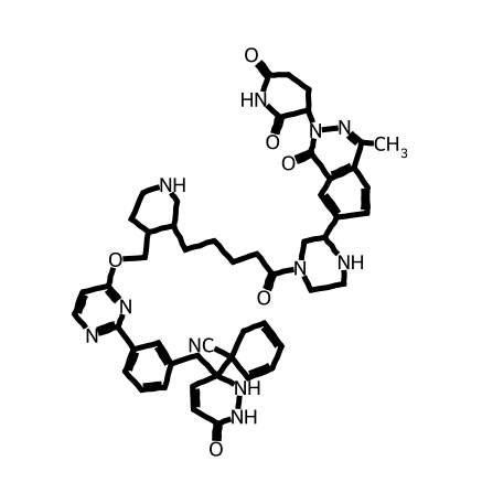 Cc1nn(C2CCC(=O)NC2=O)c(=O)c2cc(C3CN(C(=O)CCCCC4CNCCC4COc4ccnc(-c5cccc(CC6(C7(C#N)C=CC=CC7)C=CC(=O)NN6)c5)n4)CCN3)ccc12